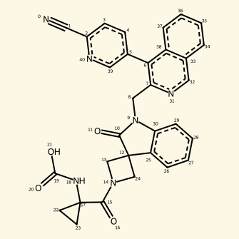 N#Cc1ccc(-c2c(CN3C(=O)C4(CN(C(=O)C5(NC(=O)O)CC5)C4)c4ccccc43)ncc3ccccc23)cn1